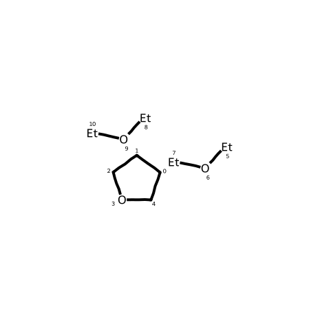 C1CCOC1.CCOCC.CCOCC